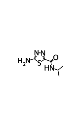 CC(C)NC(=O)c1nnc(N)s1